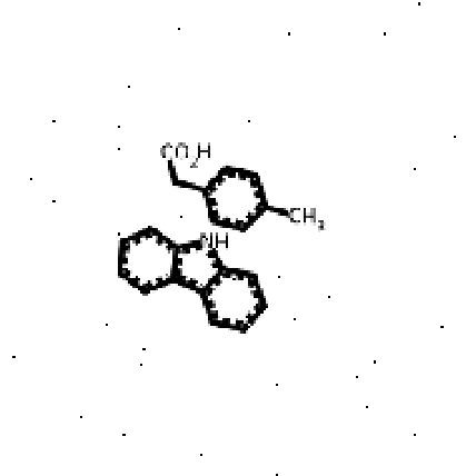 Cc1ccc(CC(=O)O)cc1.c1ccc2c(c1)[nH]c1ccccc12